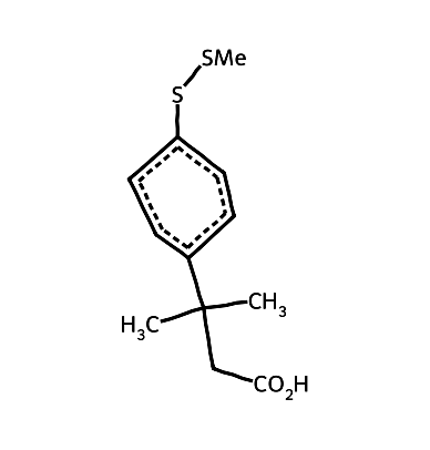 CSSc1ccc(C(C)(C)CC(=O)O)cc1